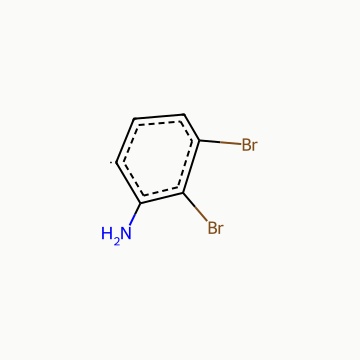 Nc1[c]ccc(Br)c1Br